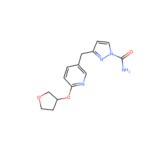 NC(=O)n1ccc(Cc2ccc(OC3CCOC3)nc2)n1